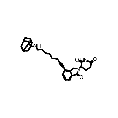 O=C1CCC(N2Cc3c(C#CCCCCCCNC45CC6CC(CC(C6)C4)C5)cccc3C2=O)C(=O)N1